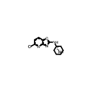 Clc1ccc2oc(NC34CCC(CC3)NC4)nc2n1